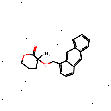 CC1(OCc2cccc3cc4ccccc4cc23)CCCOC1=O